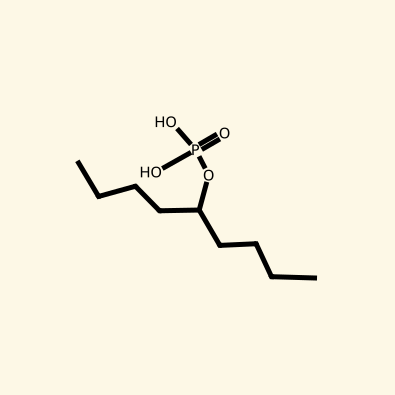 CCCCC(CCCC)OP(=O)(O)O